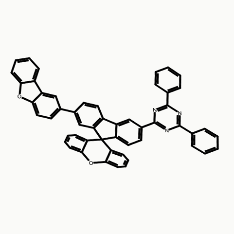 c1ccc(-c2nc(-c3ccccc3)nc(-c3ccc4c(c3)-c3ccc(-c5ccc6oc7ccccc7c6c5)cc3C43c4ccccc4Oc4ccccc43)n2)cc1